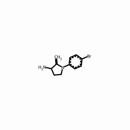 C=C1C(N)CCN1c1ccc(Br)cc1